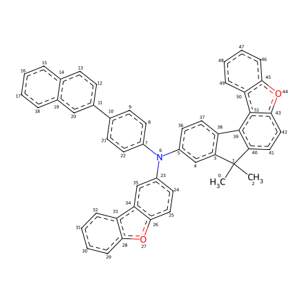 CC1(C)c2cc(N(c3ccc(-c4ccc5ccccc5c4)cc3)c3ccc4oc5ccccc5c4c3)ccc2-c2c1ccc1oc3ccccc3c21